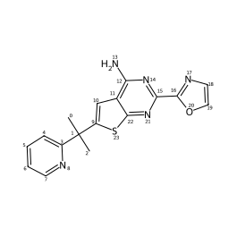 CC(C)(c1ccccn1)c1cc2c(N)nc(-c3ncco3)nc2s1